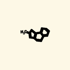 CC1=Cc2ccc3ccccc3c2C1